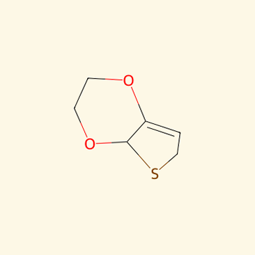 C1=C2OCCOC2SC1